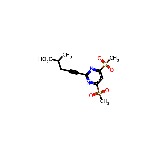 CC(CC#Cc1nc(S(C)(=O)=O)cc(S(C)(=O)=O)n1)C(=O)O